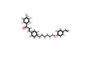 C=Cc1ccc(OCCCCCCc2ccc(C=CC(=O)c3ccc(F)cc3)cc2)cc1